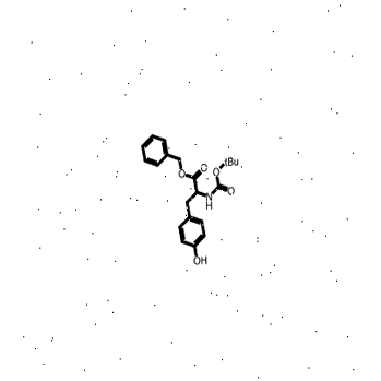 CC(C)(C)OC(=O)NC(Cc1ccc(O)cc1)C(=O)OCc1ccccc1